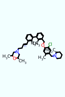 Cc1cc(OCc2cccc(-c3cccc(/C=C/CCN4CC(C)OC(C)C4)c3C)c2C)c(Cl)cc1CN1CCCC[C@H]1C(=O)O